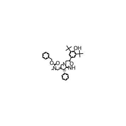 CN(C[C@H]1CN(CC(=O)c2cc(C(C)(C)C)c(O)c(C(C)(C)C)c2)C(=N)[C@@H]1c1ccccc1)C(=O)OCc1ccccc1